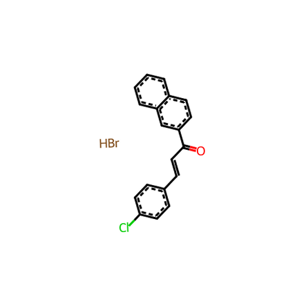 Br.O=C(C=Cc1ccc(Cl)cc1)c1ccc2ccccc2c1